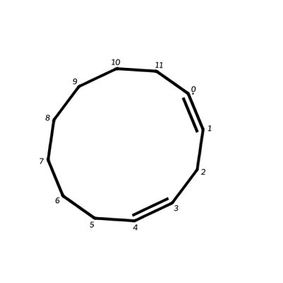 [C]1=CCC=CCCCCCCC1